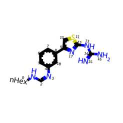 CCCCCCN/C=N\c1cccc(-c2csc(NC(=N)N)n2)c1